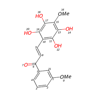 COc1cccc(C(=O)C=Cc2c(O)c(O)c(OC)c(O)c2O)c1